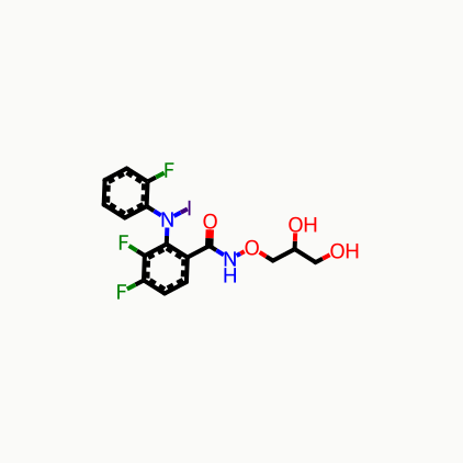 O=C(NOCC(O)CO)c1ccc(F)c(F)c1N(I)c1ccccc1F